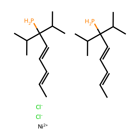 CC=CC=CC(P)(C(C)C)C(C)C.CC=CC=CC(P)(C(C)C)C(C)C.[Cl-].[Cl-].[Ni+2]